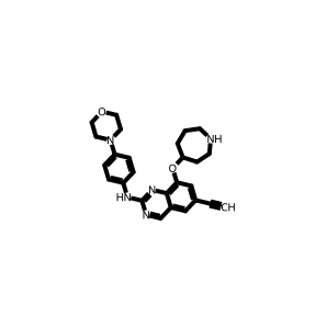 C#Cc1cc(OC2CCCNCC2)c2nc(Nc3ccc(N4CCOCC4)cc3)ncc2c1